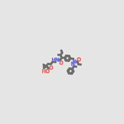 CCC(=O)N(Cc1ccc(C(C(=O)NCCCCC2(C(=O)O)CC2)C(C)CC)cc1)/N=C(\C)c1ccccc1